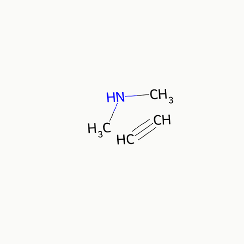 C#C.CNC